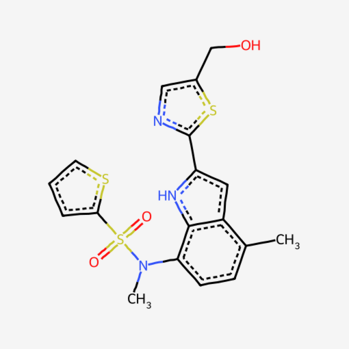 Cc1ccc(N(C)S(=O)(=O)c2cccs2)c2[nH]c(-c3ncc(CO)s3)cc12